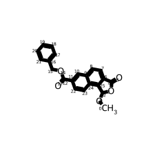 COC1OC(=O)c2ccc3cc(C(=O)OCc4ccccc4)ccc3c21